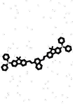 CC1(C)c2cc(/C=C/c3ccc(/C=C/c4ccc5c(c4)C(C)(C)c4cc(N(c6ccccc6)c6ccccc6)ccc4-5)c4ccccc34)ccc2-c2ccc(N(c3ccccc3)c3ccccc3)cc21